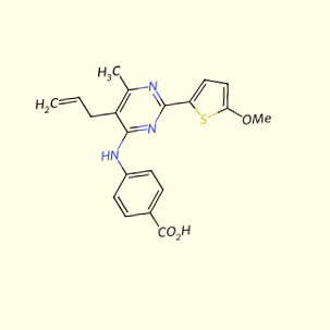 C=CCc1c(C)nc(-c2ccc(OC)s2)nc1Nc1ccc(C(=O)O)cc1